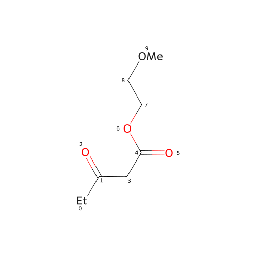 CCC(=O)CC(=O)OCCOC